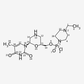 CCN1CCN(P(=O)(Cl)OC[C@@H]2CNC[C@H](n3cc(C)c(=O)[nH]c3=O)O2)CC1